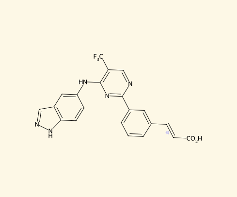 O=C(O)/C=C/c1cccc(-c2ncc(C(F)(F)F)c(Nc3ccc4[nH]ncc4c3)n2)c1